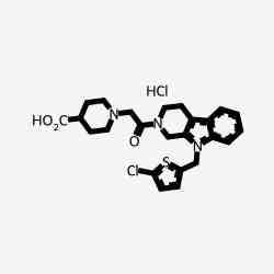 Cl.O=C(O)C1CCN(CC(=O)N2CCc3c(n(Cc4ccc(Cl)s4)c4ccccc34)C2)CC1